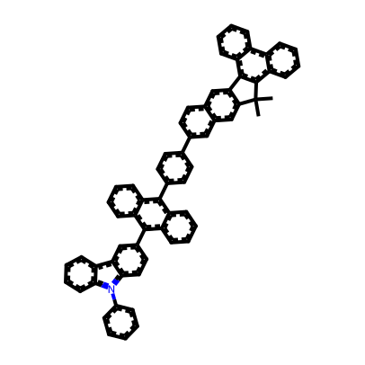 CC1(C)c2cc3cc(-c4ccc(-c5c6ccccc6c(-c6ccc7c(c6)c6ccccc6n7-c6ccccc6)c6ccccc56)cc4)ccc3cc2-c2c1c1ccccc1c1ccccc21